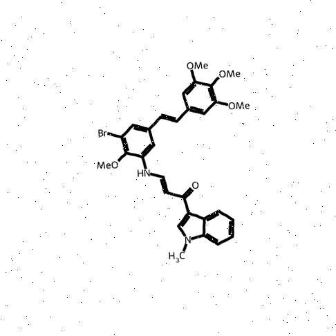 COc1cc(C=Cc2cc(Br)c(OC)c(NC=CC(=O)c3cn(C)c4ccccc34)c2)cc(OC)c1OC